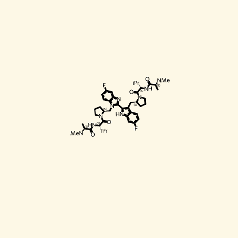 CN[C@@H](C)C(=O)N[C@H](C(=O)N1CCC[C@H]1Cc1c(-c2nc3cc(F)ccc3n2C[C@@H]2CCCN2C(=O)[C@@H](NC(=O)[C@H](C)NC)C(C)C)[nH]c2cc(F)ccc12)C(C)C